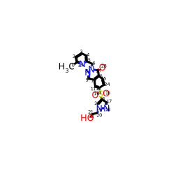 Cc1cccc(Cn2ncc3cc(S(=O)(=O)c4cnn(CCO)c4)ccc3c2=O)n1